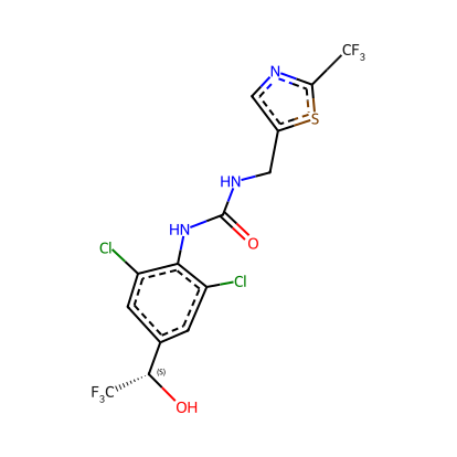 O=C(NCc1cnc(C(F)(F)F)s1)Nc1c(Cl)cc([C@H](O)C(F)(F)F)cc1Cl